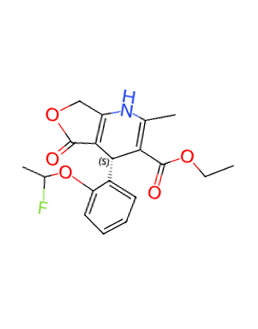 CCOC(=O)C1=C(C)NC2=C(C(=O)OC2)[C@H]1c1ccccc1OC(C)F